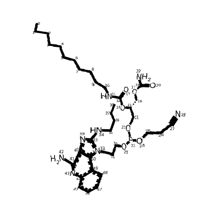 CCCCCCCCCCCNC(=O)O[C@H](COC(N)=O)COP(OCCC#N)OCCn1c(NCCCC)nc2c(N)nc3ccccc3c21